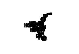 C#CCCOc1ccc(CO[C@]2(C(=O)O)C[C@H](O)[C@@H](NC(=O)CO)[C@H]([C@H](O)[C@H](O)CNC(=O)C(F)(F)c3ccccc3)O2)cc1